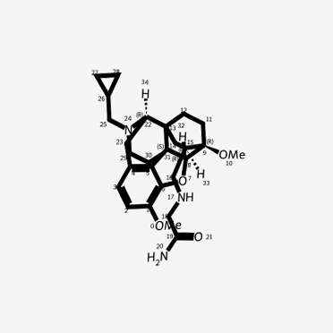 COc1ccc2c3c1O[C@H]1[C@@]4(OC)CCC5(C[C@@H]4CNCC(N)=O)[C@@H](C2)N(CC2CC2)CC[C@]315